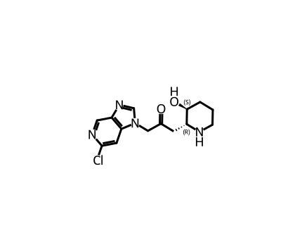 O=C(C[C@H]1NCCC[C@@H]1O)Cn1cnc2cnc(Cl)cc21